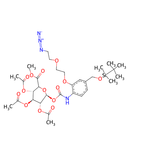 COC(=O)C1O[C@@H](OC(=O)Nc2ccc(CO[Si](C)(C)C(C)(C)C)cc2OCCOCCN=[N+]=[N-])[C@H](OC(C)=O)[C@@H](OC(C)=O)[C@@H]1OC(C)=O